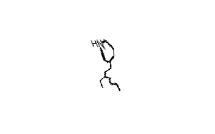 CCCCC(CC)CCC1=CCCNC=C1